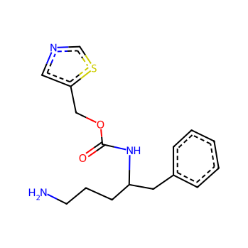 NCCCC(Cc1ccccc1)NC(=O)OCc1cncs1